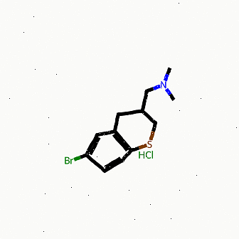 CN(C)CC1CSc2ccc(Br)cc2C1.Cl